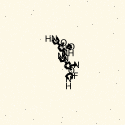 COC1=C(C2CCNCC2)C=CC(Nc2nccc(-c3ccc(O[C@H]4CCNC[C@@H]4F)c(C#N)c3)n2)N1C1COC1